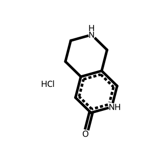 Cl.O=c1cc2c(c[nH]1)CNCC2